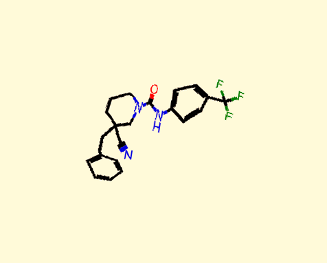 N#CC1(Cc2ccccc2)CCCN(C(=O)Nc2ccc(C(F)(F)F)cc2)C1